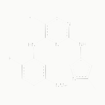 CNc1ccc(F)c(Nc2nc(Nc3cc(C)ns3)ncc2Cl)c1